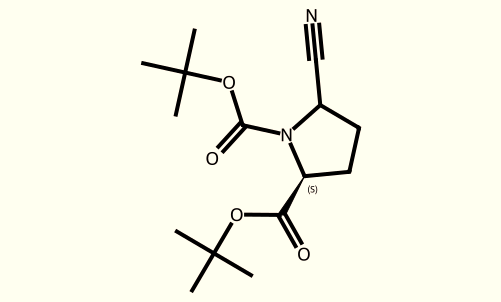 CC(C)(C)OC(=O)[C@@H]1CCC(C#N)N1C(=O)OC(C)(C)C